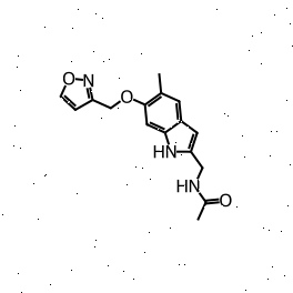 CC(=O)NCc1cc2cc(C)c(OCc3ccon3)cc2[nH]1